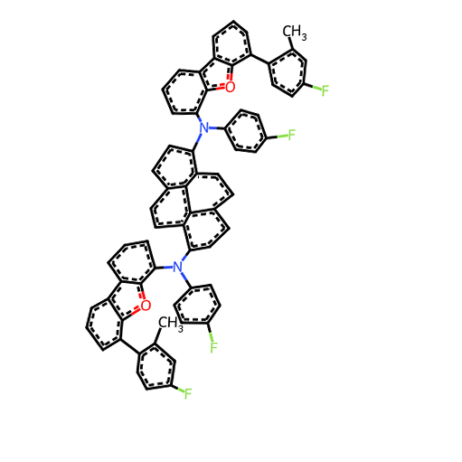 Cc1cc(F)ccc1-c1cccc2c1oc1c(N(c3ccc(F)cc3)c3ccc4ccc5c(N(c6ccc(F)cc6)c6cccc7c6oc6c(-c8ccc(F)cc8C)cccc67)ccc6ccc3c4c65)cccc12